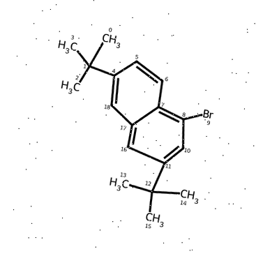 CC(C)(C)c1ccc2c(Br)cc(C(C)(C)C)cc2c1